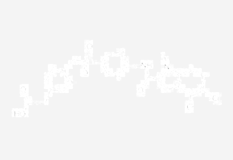 Cn1c(C(=O)Nc2ccc(S(=O)(=O)Cc3ccc(CC(=O)O)cc3)cc2)cc2c(Cl)c(Cl)ccc21